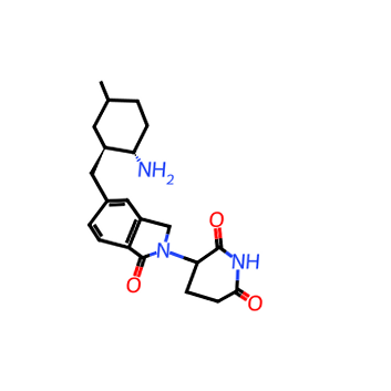 CC1CC[C@H](N)[C@@H](Cc2ccc3c(c2)CN(C2CCC(=O)NC2=O)C3=O)C1